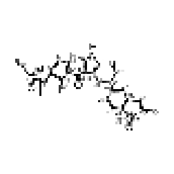 CCCS(=O)(=O)Nc1ccc(F)c(C(=O)c2c[nH]c3ncc(-c4ccc5c(c4)C=C(C)N=S5(C)=O)cc23)c1F